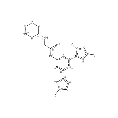 Cc1cc(C)n(-c2cc(NC(=O)CN[C@H]3CCCNC3)nc(-c3ccc(C)o3)n2)n1